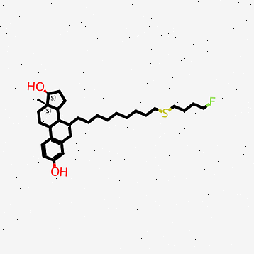 C[C@]12CCC3c4ccc(O)cc4CC(CCCCCCCCCSCCCCF)C3C1CC[C@@H]2O